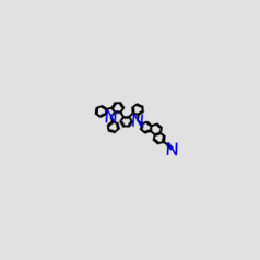 N#Cc1ccc2c(ccc3cc(-n4c5ccccc5c5c(-c6cccc7c8ccccc8n(-c8ccccc8)c67)cccc54)ccc32)c1